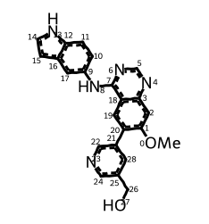 COc1cc2ncnc(Nc3ccc4[nH]ccc4c3)c2cc1-c1cncc(CO)c1